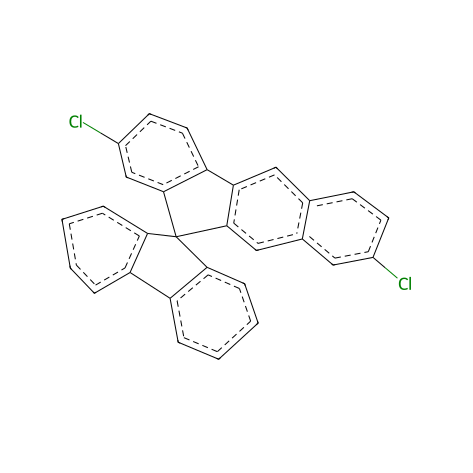 Clc1ccc2c(c1)C1(c3ccccc3-c3ccccc31)c1cc3cc(Cl)ccc3cc1-2